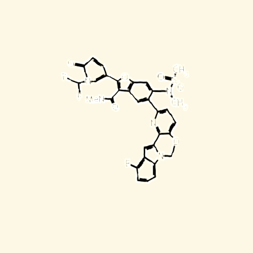 CNC(=O)c1c(-c2ccc(=O)n(C(F)F)c2)oc2cc(N(C)S(C)(=O)=O)c(-c3ccc4c(n3)-c3cc5c(F)cccc5n3CO4)cc12